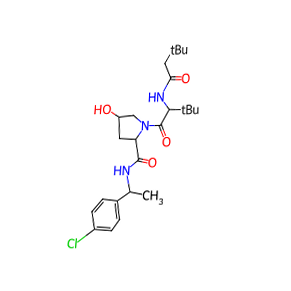 CC(NC(=O)C1CC(O)CN1C(=O)C(NC(=O)CC(C)(C)C)C(C)(C)C)c1ccc(Cl)cc1